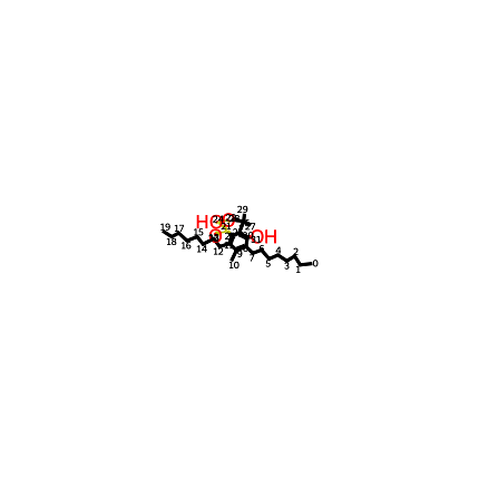 CCCCCCCCc1c(C)c(CCCCCCCC)c(S(=O)(=O)O)c(C(C)(C)C)c1O